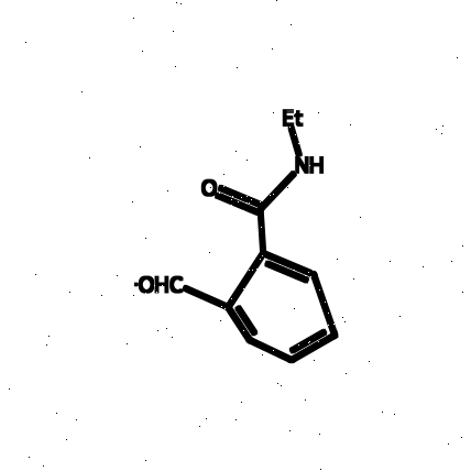 CCNC(=O)c1ccccc1[C]=O